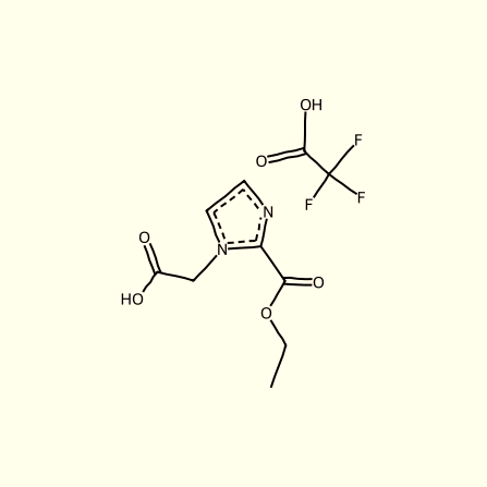 CCOC(=O)c1nccn1CC(=O)O.O=C(O)C(F)(F)F